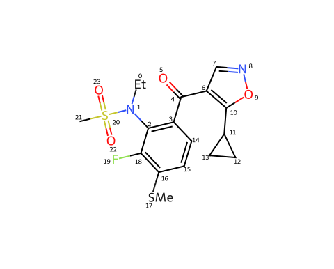 CCN(c1c(C(=O)c2cnoc2C2CC2)ccc(SC)c1F)S(C)(=O)=O